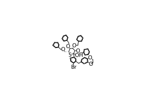 OC1(c2ccc(Br)c(Cc3ccc4c(c3)OCCO4)c2)S[C@H](COCc2ccccc2)[C@@H](OCc2ccccc2)[C@H](OCc2ccccc2)[C@H]1OCc1ccccc1